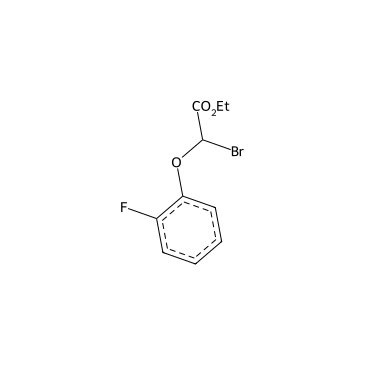 CCOC(=O)C(Br)Oc1ccccc1F